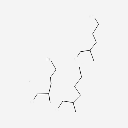 CC(C)CCCC(C)C[O-].CC(C)CCCC(C)C[O-].CC(C)CCCC(C)C[O-].[Al+3]